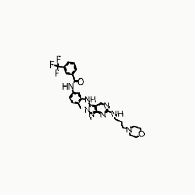 Cc1ccc(NC(=O)c2cccc(C(F)(F)F)c2)cc1Nc1nn(C)c2nc(NCCCN3CCOCC3)ncc12